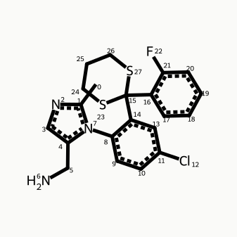 Cc1ncc(CN)n1-c1ccc(Cl)cc1C1(c2ccccc2F)SCCCS1